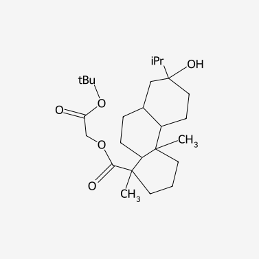 CC(C)C1(O)CCC2C(CCC3C(C)(C(=O)OCC(=O)OC(C)(C)C)CCCC23C)C1